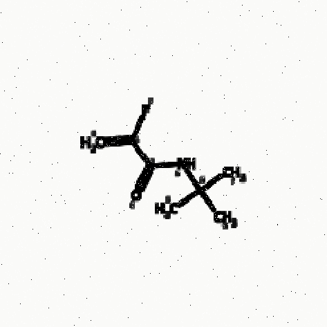 C=C(F)C(=O)NC(C)(C)C